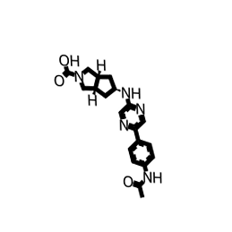 CC(=O)Nc1ccc(-c2cnc(N[C@@H]3C[C@@H]4CN(C(=O)O)C[C@@H]4C3)cn2)cc1